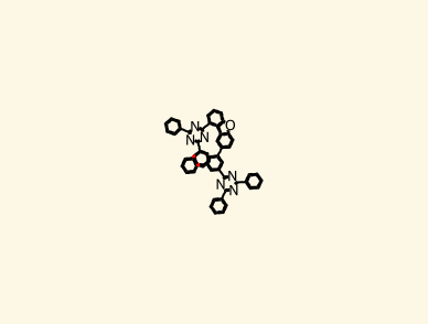 c1ccc(-c2cc(-c3ccc4oc5cccc(-c6nc(-c7ccccc7)nc(-c7ccccc7)n6)c5c4c3)cc(-c3nc(-c4ccccc4)nc(-c4ccccc4)n3)c2)cc1